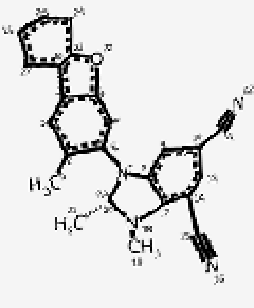 Cc1cc2c(cc1N1c3cc(C#N)cc(C#N)c3N(C)[C@@H]1C)oc1ccccc12